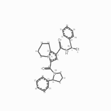 CC[C@@H](NC(=O)c1cc(C(=O)N2CCCC2c2ccccc2)n2c1CCCC2)c1ccccc1